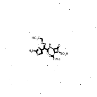 COC(=O)[C@H]1[C@@H](NC(=O)/C(=N/OCC(=O)O)c2csc(N)n2)C(=O)N1S(=O)(=O)O